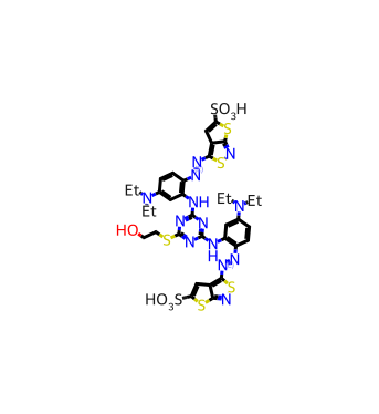 CCN(CC)c1ccc(/N=N/c2snc3sc(S(=O)(=O)O)cc23)c(Nc2nc(Nc3cc(N(CC)CC)ccc3/N=N/c3snc4sc(S(=O)(=O)O)cc34)nc(SCCO)n2)c1